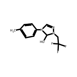 Cc1ccc(N2C=NN(CC(F)(F)F)C2O)cc1